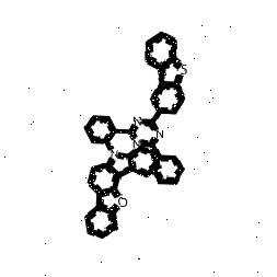 c1ccc(-c2nc(-c3ccc4sc5ccccc5c4c3)nc(-c3ccccc3-n3c4ccccc4c4c5oc6ccccc6c5ccc43)n2)cc1